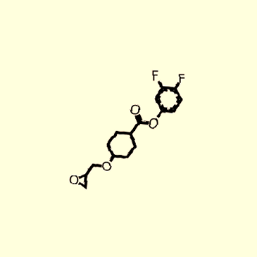 O=C(Oc1ccc(F)c(F)c1)C1CCC(OCC2CO2)CC1